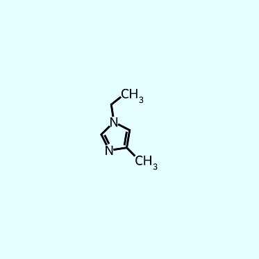 CCn1cnc(C)c1